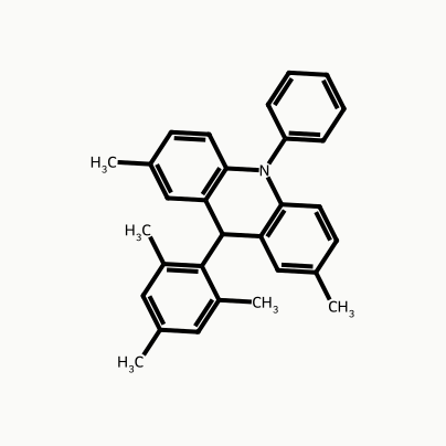 Cc1cc(C)c(C2c3cc(C)ccc3N(c3ccccc3)c3ccc(C)cc32)c(C)c1